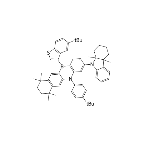 CC(C)(C)c1ccc(N2c3cc(N4c5ccccc5C5(C)CCCCC45C)ccc3B(c3csc4ccc(C(C)(C)C)cc34)c3cc4c(cc32)C(C)(C)CCC4(C)C)cc1